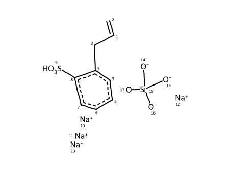 C=CCc1ccccc1S(=O)(=O)O.[Na+].[Na+].[Na+].[Na+].[O-][Si]([O-])([O-])[O-]